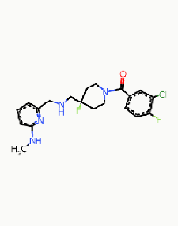 CNc1cccc(CNCC2(F)CCN(C(=O)c3ccc(F)c(Cl)c3)CC2)n1